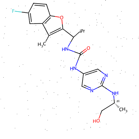 Cc1c(C(NC(=O)Nc2cnc(N[C@H](C)CO)nc2)C(C)C)oc2ccc(F)cc12